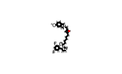 COc1ccc2cn(CC34CC(CCCCCC(=O)N5N=CCC5c5cc(F)cc(F)c5)(C3)C4)nc2c1